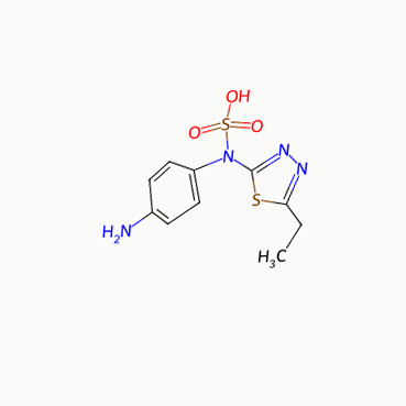 CCc1nnc(N(c2ccc(N)cc2)S(=O)(=O)O)s1